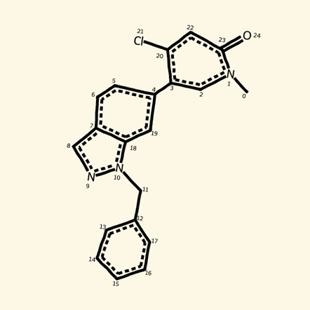 Cn1cc(-c2ccc3cnn(Cc4ccccc4)c3c2)c(Cl)cc1=O